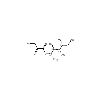 CC(C)CC(=O)C(=O)O[C@@H](C(=O)O)[C@@H](O)[C@@H](O)[C@H](O)CO